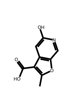 Cc1oc2cnc(O)cc2c1C(=O)O